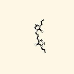 C/C=C/n1nnn(CSCn2nnn(/C=C/C)c2=O)c1=O